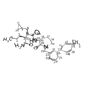 CCC[C@H](C(N)=O)[C@@H](CC1CC1)C(=O)N[C@H]1CCCCN(Cc2cccc(-c3ccc(C)cc3)c2)C1=O